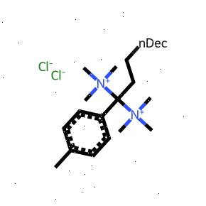 CCCCCCCCCCCCC(c1ccc(C)cc1)([N+](C)(C)C)[N+](C)(C)C.[Cl-].[Cl-]